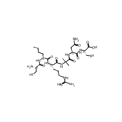 CCCC[C@H](NC(=O)[C@@H](N)CS)C(=O)N[C@@H](CCCNC(=N)N)C(=O)NC(C)(C)C(=O)N[C@@H](CC(N)=O)C(=O)N[C@@H](CS)C(=O)O